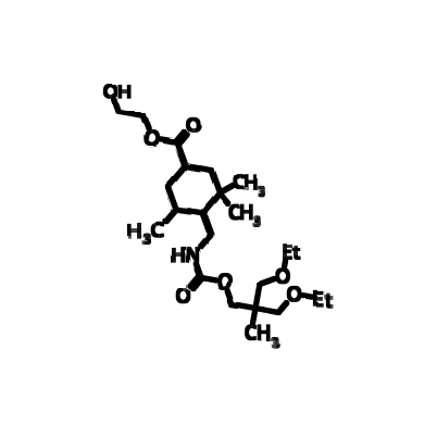 CCOCC(C)(COCC)COC(=O)NCC1C(C)CC(C(=O)OCCO)CC1(C)C